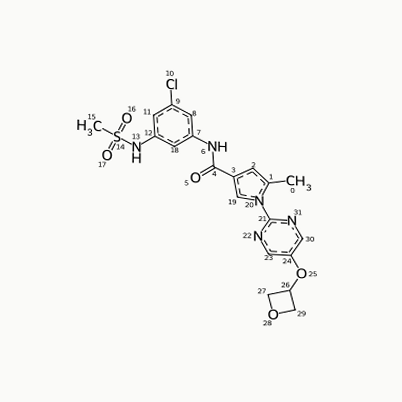 Cc1cc(C(=O)Nc2cc(Cl)cc(NS(C)(=O)=O)c2)cn1-c1ncc(OC2COC2)cn1